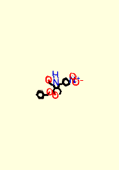 CCc1c(-c2ccc([N+](=O)[O-])cc2)[nH]c(C=O)c1C(=O)OCc1ccccc1